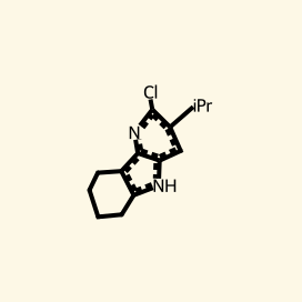 CC(C)c1cc2[nH]c3c(c2nc1Cl)CCCC3